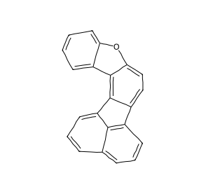 c1cc2c3c(cccc3c1)-c1c-2ccc2oc3ccccc3c12